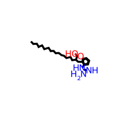 CCCCCCCCCCCCCCCCC(Cc1ccccc1NC(=N)N)C(=O)O